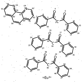 O=C([CH-]C(=O)c1ccccc1)c1ccccc1.O=C([CH-]C(=O)c1ccccc1)c1ccccc1.O=C([CH-]C(=O)c1ccccc1)c1ccccc1.[Eu+3].c1cnc2c(c1)ccc1cccnc12